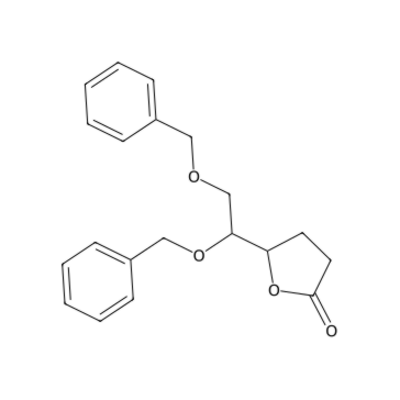 O=C1CCC(C(COCc2ccccc2)OCc2ccccc2)O1